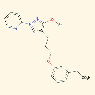 CCOc1nn(-c2ccccn2)cc1CCCOc1cccc(CC(=O)O)c1